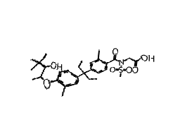 CCC(CC)(c1ccc(OC(C)C(O)C(C)(C)C)c(C)c1)c1ccc(C(=O)N(CC(=O)O)S(C)(=O)=O)c(C)c1